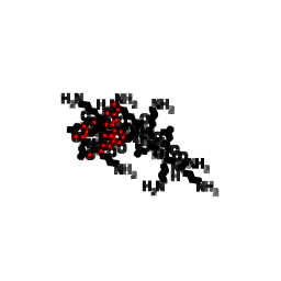 CC(C)C[C@H](NC(=O)[C@H](CC(C)C)NC(=O)[C@H](CCCCN)NC(=O)[C@H](CCCCN)NC(=O)[C@H](CC(C)C)NC(=O)[C@H](CC(C)C)NC(=O)[C@H](CCCCN)NC(=O)[C@H](CCCCN)NC(=O)[C@H](CC(C)C)NC(=O)[C@H](CC(C)C)NC(=O)[C@H](CCCCN)NC(=O)[C@H](CCCCN)NC(=O)[C@H](CC(C)C)NC(=O)[C@@H](N)CC(C)C)C(=O)N[C@@H](CCCCN)C(=O)N[C@@H](CCCCN)C(N)=O